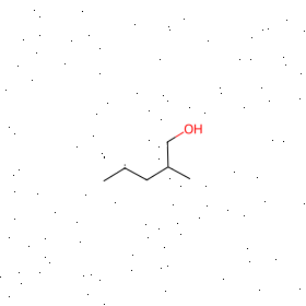 C[CH]CC(C)CO